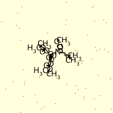 COc1ccc2c(CCN(C)C)cn(COP(=O)(OCOC(=O)OC(C)C)OCOC(=O)OC(C)C)c2c1